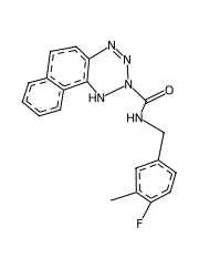 Cc1cc(CNC(=O)N2N=Nc3ccc4ccccc4c3N2)ccc1F